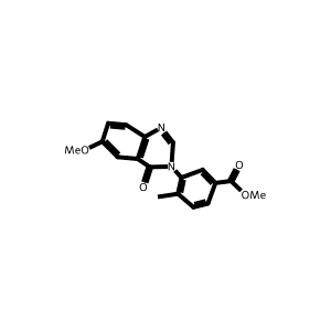 COC(=O)c1ccc(C)c(-n2cnc3ccc(OC)cc3c2=O)c1